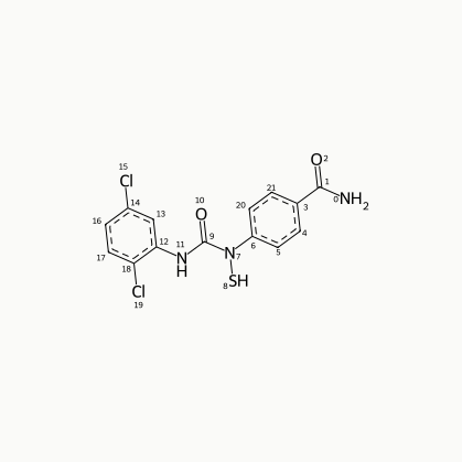 NC(=O)c1ccc(N(S)C(=O)Nc2cc(Cl)ccc2Cl)cc1